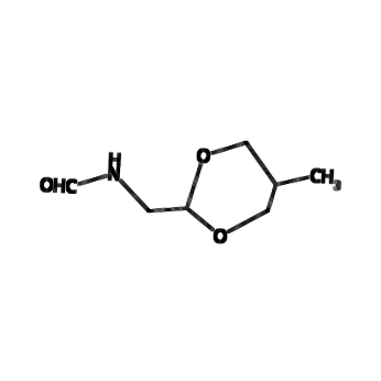 CC1COC(CNC=O)OC1